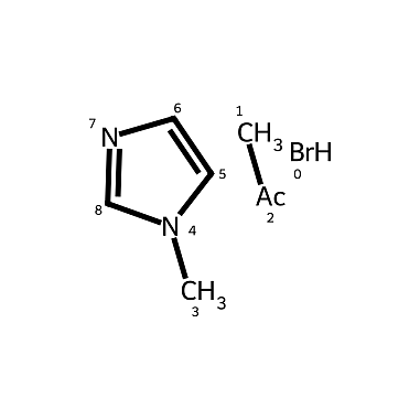 Br.CC(C)=O.Cn1ccnc1